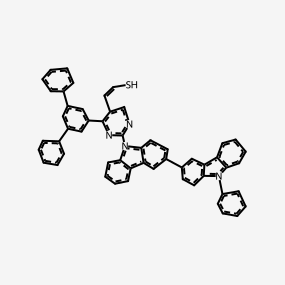 S/C=C\c1cnc(-n2c3ccccc3c3cc(-c4ccc5c(c4)c4ccccc4n5-c4ccccc4)ccc32)nc1-c1cc(-c2ccccc2)cc(-c2ccccc2)c1